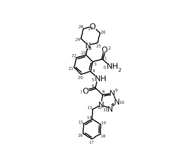 NC(=O)c1c(NC(=O)c2nnnn2Cc2ccccc2)cccc1N1CCOCC1